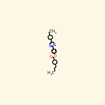 CCCCC1CCC(C(=O)Oc2ccc(-c3ncc(C4CCC(CC)CC4)cn3)cc2)CC1